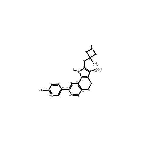 Cn1c(CC2(N)CNC2)c(C(=O)O)c2c1-c1cc(-c3ccc(F)nc3)ncc1CC2